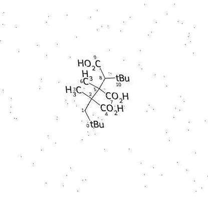 CC(C)(C)CC(C)(C(=O)O)C(C)(C(=O)O)C(C(=O)O)C(C)(C)C